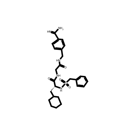 N=C(N)c1ccc(CNC(=O)CNC(=O)[C@@H](CC2CCCCC2)NS(=O)(=O)Cc2ccccc2)cc1